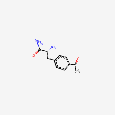 CC(=O)c1ccc(C[C@@H](N)C(N)=O)cc1